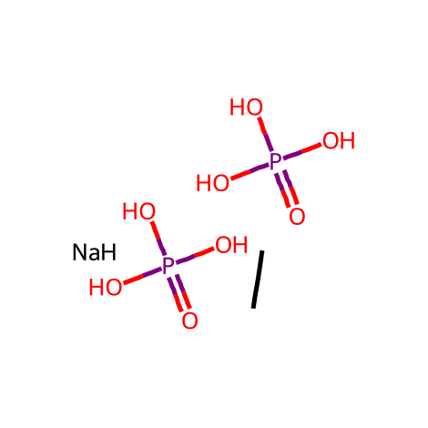 CC.O=P(O)(O)O.O=P(O)(O)O.[NaH]